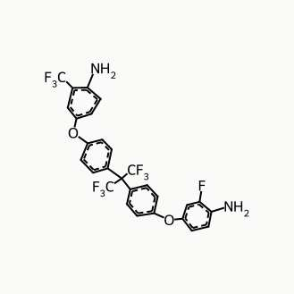 Nc1ccc(Oc2ccc(C(c3ccc(Oc4ccc(N)c(C(F)(F)F)c4)cc3)(C(F)(F)F)C(F)(F)F)cc2)cc1F